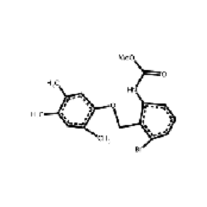 COC(=O)Nc1cccc(Br)c1COc1cc(C)c(C)cc1C